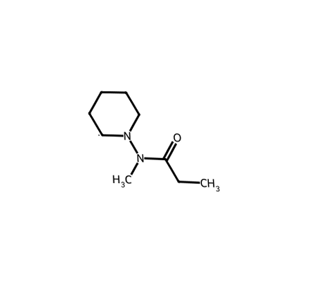 CCC(=O)N(C)N1[CH]CCCC1